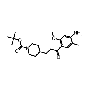 COc1cc(N)c(C)cc1C(=O)CCC1CCN(C(=O)OC(C)(C)C)CC1